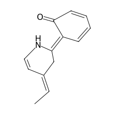 CC=C1C=CNC(=C2C=CC=CC2=O)C1